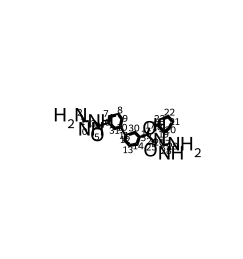 N=C(N)NC(=O)c1cccc(-c2cccc(C(Oc3ccccc3)C(=O)NC(=N)N)c2)c1